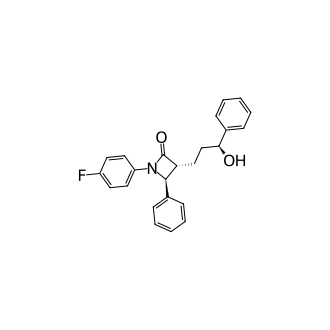 O=C1[C@H](CC[C@H](O)c2ccccc2)[C@@H](c2ccccc2)N1c1ccc(F)cc1